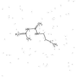 C=C(C)NC(=C)NCCCC